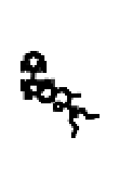 CCCN(CCC)C(=O)C(C)Cc1ccc2nnc(-c3ncccn3)n2n1